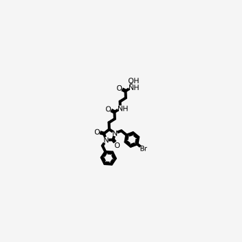 O=C(CCNC(=O)CCC1C(=O)N(Cc2ccccc2)C(=O)N1Cc1ccc(Br)cc1)NO